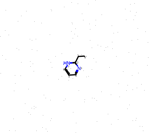 [CH2]CC1N=CC=CN1